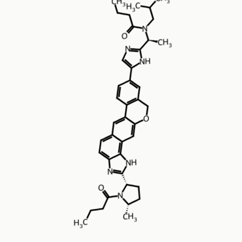 CCCC(=O)N(CC(C)C)[C@@H](C)c1ncc(-c2ccc3c(c2)COc2cc4c(ccc5nc([C@@H]6CC[C@H](C)N6C(=O)CCC)[nH]c54)cc2-3)[nH]1